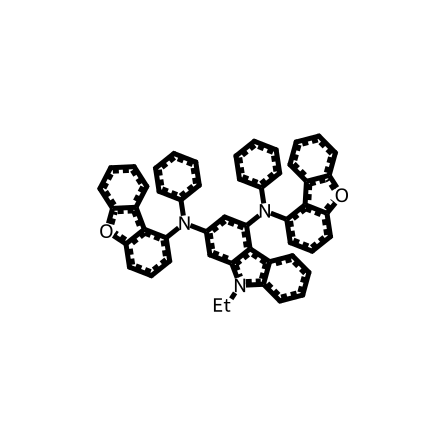 CCn1c2ccccc2c2c(N(c3ccccc3)c3cccc4oc5ccccc5c34)cc(N(c3ccccc3)c3cccc4oc5ccccc5c34)cc21